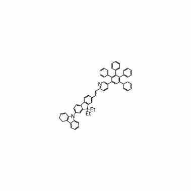 CCC1(CC)c2cc(/C=C/c3ccc(-c4cc(C5C=CC=CC5)c(-c5ccccc5)c(-c5ccccc5)c4-c4ccccc4)cn3)ccc2-c2ccc(-n3c4c(c5ccccc53)CCC=C4)cc21